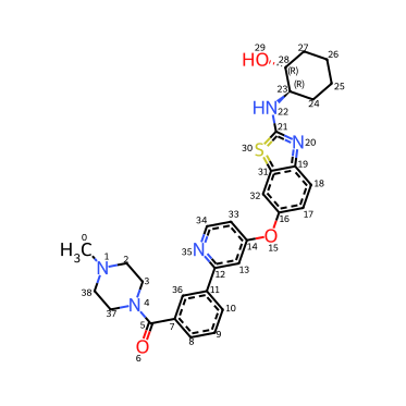 CN1CCN(C(=O)c2cccc(-c3cc(Oc4ccc5nc(N[C@@H]6CCCC[C@H]6O)sc5c4)ccn3)c2)CC1